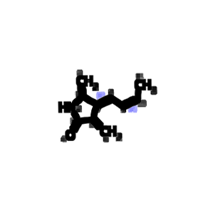 C=C1NC(=O)C(=C)/C1=C\C=C/C